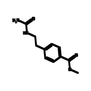 COC(=O)c1ccc(CCNC(N)=O)cc1